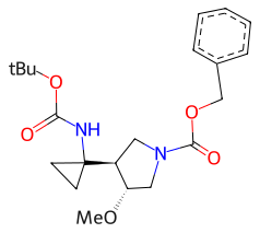 CO[C@H]1CN(C(=O)OCc2ccccc2)C[C@@H]1C1(NC(=O)OC(C)(C)C)CC1